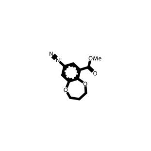 COC(=O)c1cc([N+]#N)cc2c1OCCCO2